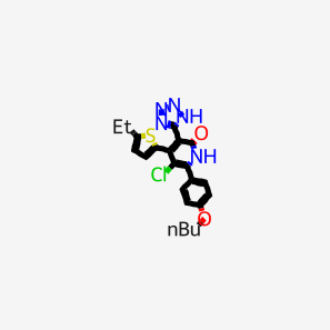 CCCCOc1ccc(-c2[nH]c(=O)c(-c3nnn[nH]3)c(-c3ccc(CC)s3)c2Cl)cc1